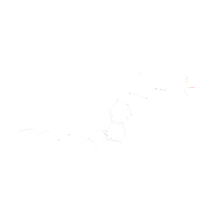 CCCCCCOc1nc2ccc3cc([C@H](CN)CCCOP(=O)(O)O)ccc3c2s1